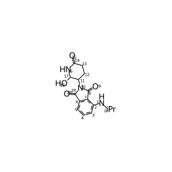 CC(C)Nc1cccc2c1C(=O)N(C1CCC(=O)NC1O)C2=O